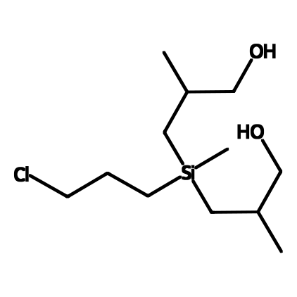 CC(CO)C[Si](C)(CCCCl)CC(C)CO